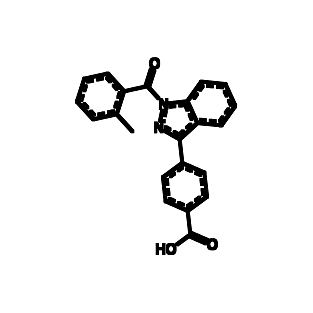 Cc1ccccc1C(=O)n1nc(-c2ccc(C(=O)O)cc2)c2ccccc21